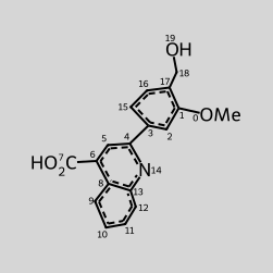 COc1cc(-c2cc(C(=O)O)c3ccccc3n2)ccc1CO